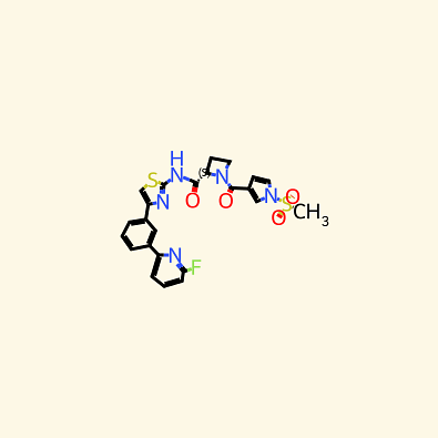 CS(=O)(=O)n1ccc(C(=O)N2CC[C@H]2C(=O)Nc2nc(-c3cccc(-c4cccc(F)n4)c3)cs2)c1